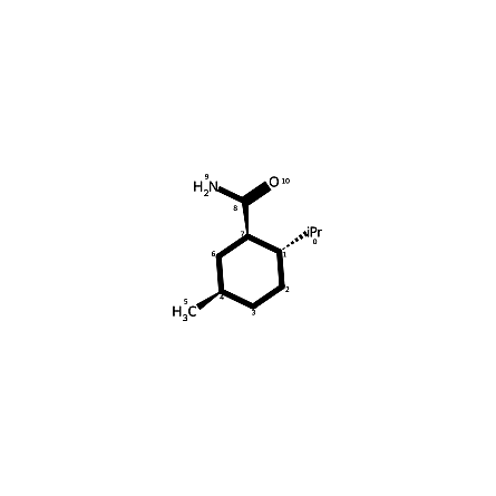 CC(C)[C@@H]1CC[C@@H](C)C[C@H]1C(N)=O